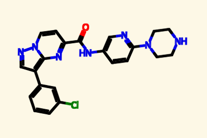 O=C(Nc1ccc(N2CCNCC2)nc1)c1ccn2ncc(-c3cccc(Cl)c3)c2n1